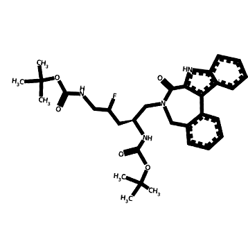 CC(C)(C)OC(=O)NCC(F)C[C@@H](CN1Cc2ccccc2-c2c([nH]c3ccccc23)C1=O)NC(=O)OC(C)(C)C